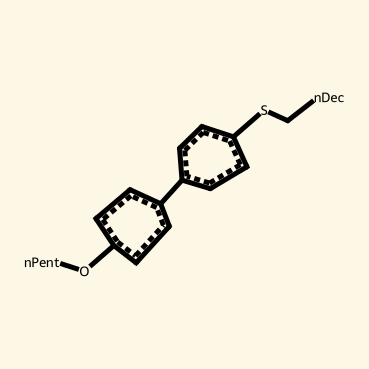 CCCCCCCCCCCSc1ccc(-c2ccc(OCCCCC)cc2)cc1